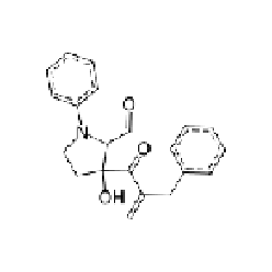 C=C(Cc1ccccc1)C(=O)C1(O)CCN(c2ccccc2)C1C=O